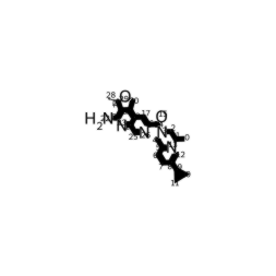 CCCN(Cc1ccc(C2CC2)cn1)C(=O)c1cc2c3c(c(N)nc2cn1)[C@H](C)OC3